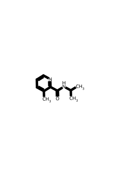 Cc1cccnc1C(=O)NC(C)C